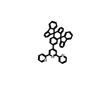 c1ccc(-c2cc(-c3ccc4c(c3)C3(c5ccccc5-c5ccccc53)c3ccccc3C43c4ccccc4-c4ccccc43)cc(-c3ccccn3)n2)nc1